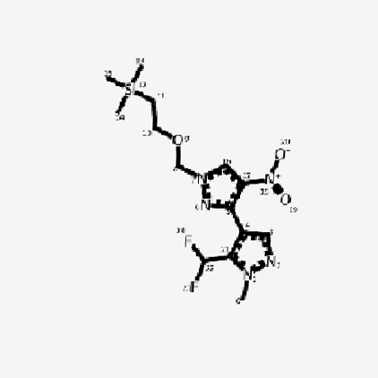 Cn1ncc(-c2nn(COCC[Si](C)(C)C)cc2[N+](=O)[O-])c1C(F)F